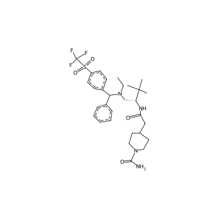 CCN(C[C@@H](NC(=O)CC1CCN(C(N)=O)CC1)C(C)(C)C)C(c1ccccc1)c1ccc(S(=O)(=O)C(F)(F)F)cc1